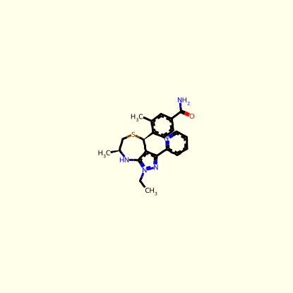 CCn1nc(-c2ccccn2)c2c1N[C@@H](C)CS[C@H]2c1ccc(C(N)=O)cc1C